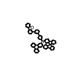 c1cc(-c2ccc(N(c3ccc4c(c3)C3(c5ccccc5-c5ccccc53)c3ccccc3-4)c3ccc4c5ccccc5c5ccccc5c4c3)cc2)cc(-c2cccc3c2oc2ccccc23)c1